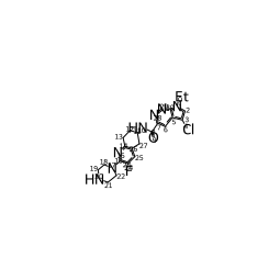 CCn1cc(Cl)c2cc(C(=O)NC3CCc4nc(N5CCNCC5)c(F)cc4C3)nnc21